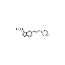 O=C(O)n1ccc2ccc(C=CCN3CCOCC3)cc21